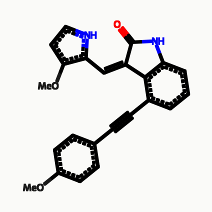 COc1ccc(C#Cc2cccc3c2C(=Cc2[nH]ccc2OC)C(=O)N3)cc1